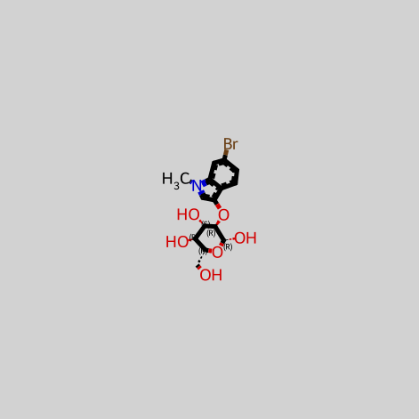 Cn1cc(O[C@@H]2[C@@H](O)[C@@H](O)[C@@H](CO)O[C@H]2O)c2ccc(Br)cc21